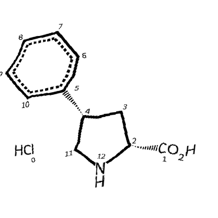 Cl.O=C(O)[C@H]1C[C@@H](c2ccccc2)CN1